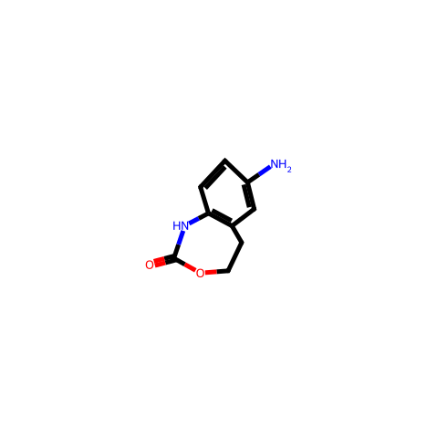 Nc1ccc2c(c1)CCOC(=O)N2